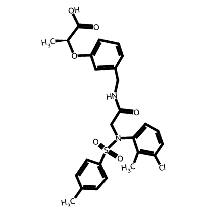 Cc1ccc(S(=O)(=O)N(CC(=O)NCc2cccc(O[C@@H](C)C(=O)O)c2)c2cccc(Cl)c2C)cc1